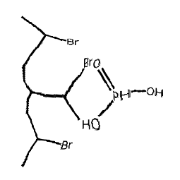 CC(Br)CC(CC(C)Br)C(C)Br.O=[PH](O)O